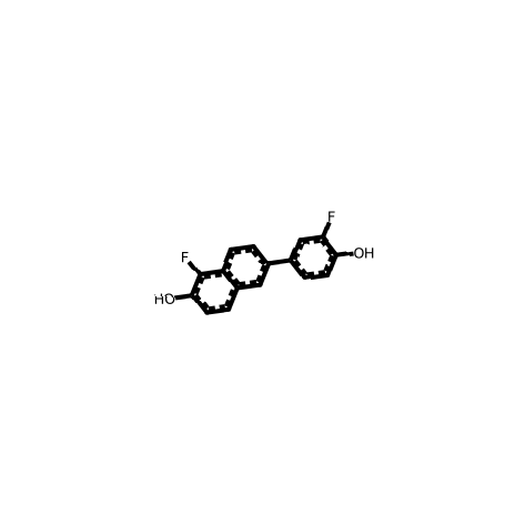 Oc1ccc(-c2ccc3c(F)c(O)ccc3c2)cc1F